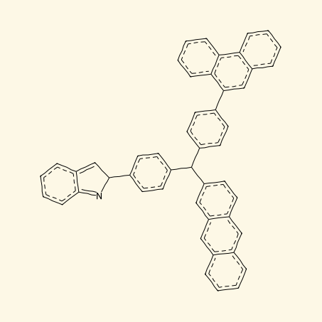 C1=c2ccccc2=NC1c1ccc(C(c2ccc(-c3cc4ccccc4c4ccccc34)cc2)c2ccc3cc4ccccc4cc3c2)cc1